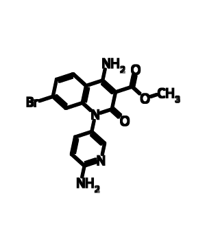 COC(=O)c1c(N)c2ccc(Br)cc2n(-c2ccc(N)nc2)c1=O